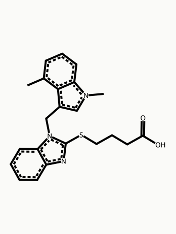 Cc1cccc2c1c(Cn1c(SCCCC(=O)O)nc3ccccc31)cn2C